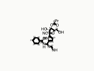 CC(C)C(=O)O[C@H]1[C@@H](O)[C@](C#N)(c2ccc(/C(=N\C=N)NC(=O)c3ccccc3)[nH]2)O[C@@H]1CO